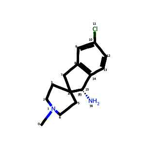 CN1CCC2(CC1)Cc1cc(Cl)ccc1[C@@H]2N